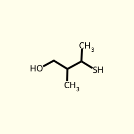 CC(S)C(C)CO